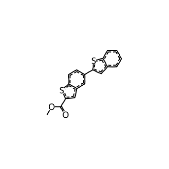 COC(=O)c1cc2cc(-c3cc4ccccc4s3)ccc2s1